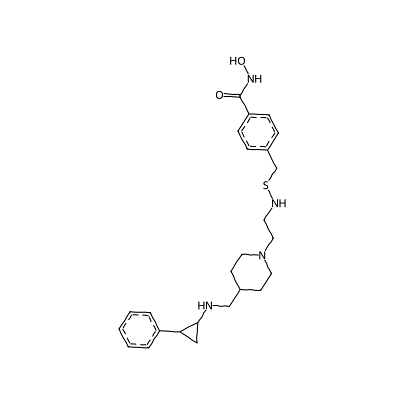 O=C(NO)c1ccc(CSNCCN2CCC(CNC3CC3c3ccccc3)CC2)cc1